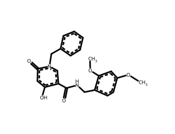 COc1ccc(CNC(=O)c2cn(Cc3ccccc3)c(=O)cc2O)c(OC)c1